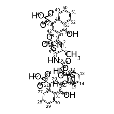 Cc1c2ccc(c1NC(=O)Nc1c3ccc(c1C)N(c1cc(S(=O)(=O)O)c4ccccc4c1O)S3(=O)=O)S(=O)(=O)N2c1cc(S(=O)(=O)O)c2ccccc2c1O